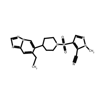 CCc1cc2ncnn2cc1C1CCN(S(=O)(=O)c2cnn(C)c2C#N)CC1